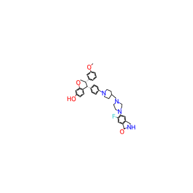 COc1cccc([C@H]2COc3cc(O)ccc3[C@H]2c2ccc(N3CCC(CN4CCN(c5cc6c(cc5F)C(=O)NC6)CC4)CC3)cc2)c1